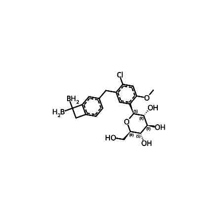 BC1(B)Cc2ccc(Cc3cc([C@@H]4O[C@H](CO)[C@@H](O)[C@H](O)[C@H]4O)c(OC)cc3Cl)cc21